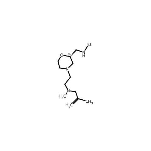 C=C(C)CN(C)CCN1CCO[C@@H](CNCC)C1